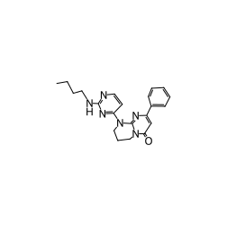 CCCCNc1nccc(N2CCCn3c2nc(-c2ccccc2)cc3=O)n1